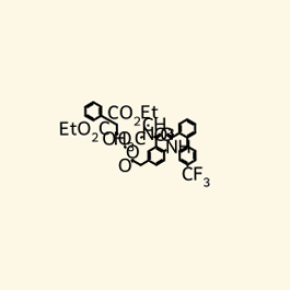 CCOC(=O)C(CC(=O)OCOC(=O)Cc1ccc(NC(=O)c2ccccc2-c2ccc(C(F)(F)F)cc2)c(C(=O)N(C)C)c1)(C(=O)OCC)c1ccccc1